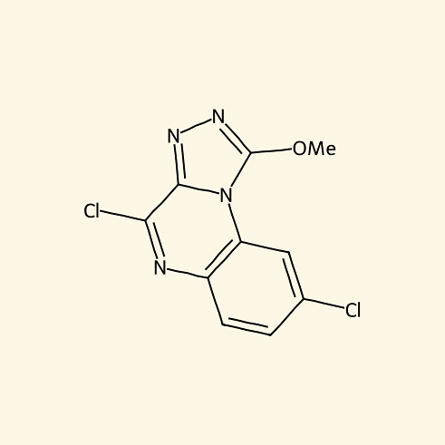 COc1nnc2c(Cl)nc3ccc(Cl)cc3n12